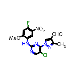 COc1cc(F)c([N+](=O)[O-])cc1Nc1ncc(Cl)c(-n2cc(C=O)c(C)n2)n1